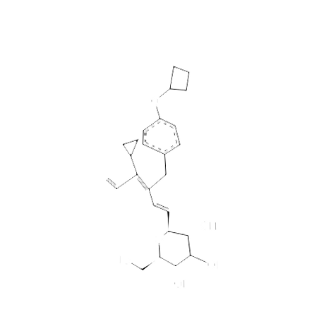 C=C/C(=C(\C=C\[C@@H]1O[C@H](CO)[C@@H](O)C(O)[C@H]1O)Cc1ccc(OC2CCC2)cc1)C1CC1